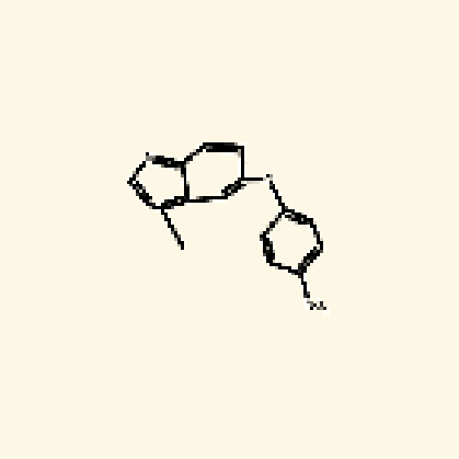 Cc1ccnc2ccc(Oc3ccc([N+](=O)[O-])cc3)cc12